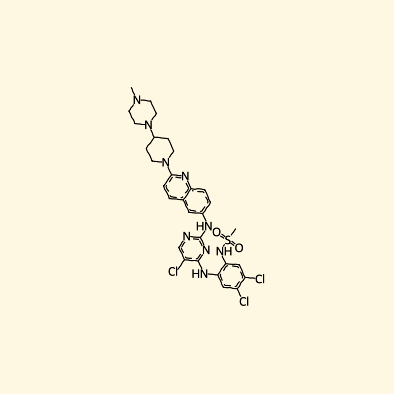 CN1CCN(C2CCN(c3ccc4cc(Nc5ncc(Cl)c(Nc6cc(Cl)c(Cl)cc6NS(C)(=O)=O)n5)ccc4n3)CC2)CC1